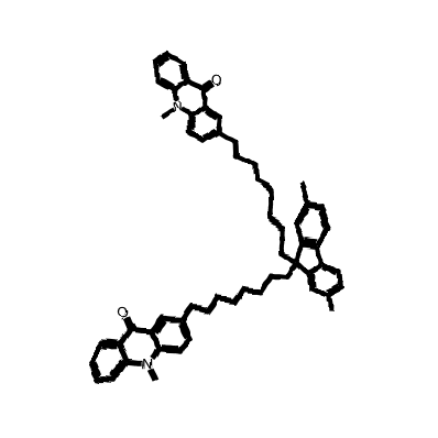 Cc1ccc2c(c1)C(CCCCCCCCc1ccc3c(c1)c(=O)c1ccccc1n3C)(CCCCCCCCc1ccc3c(c1)c(=O)c1ccccc1n3C)c1cc(C)ccc1-2